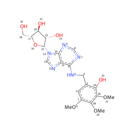 COc1cc(CNc2ncnc3c2ncn3[C@@H]2O[C@H](CO)[C@@H](O)[C@@H]2O)c(O)c(OC)c1OC